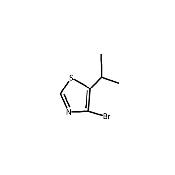 CC(C)c1scnc1Br